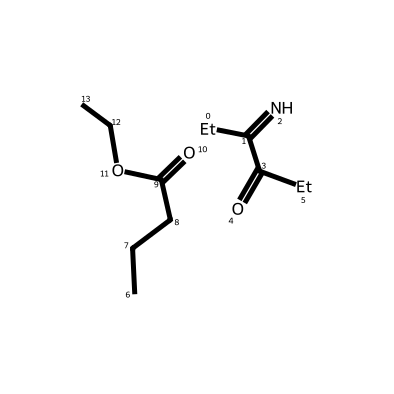 CCC(=N)C(=O)CC.CCCC(=O)OCC